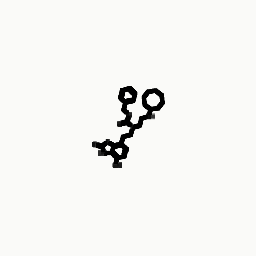 O=C(OCc1ccccc1)N(CCNC1CCCCCCC1)CCc1ccc(O)c2[nH]c(=O)sc12